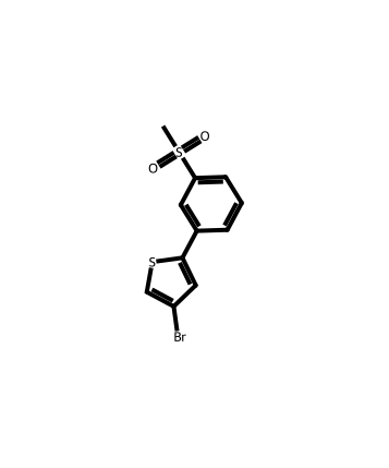 CS(=O)(=O)c1cccc(-c2cc(Br)cs2)c1